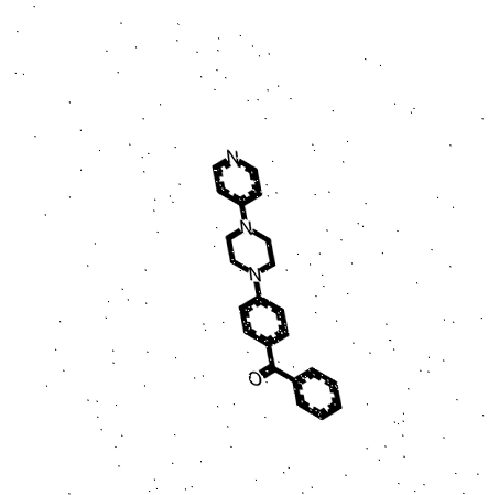 O=C(c1ccccc1)c1ccc(N2CCN(c3ccncc3)CC2)cc1